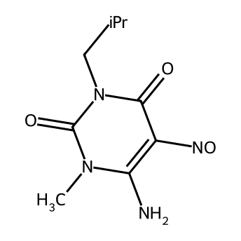 CC(C)Cn1c(=O)c(N=O)c(N)n(C)c1=O